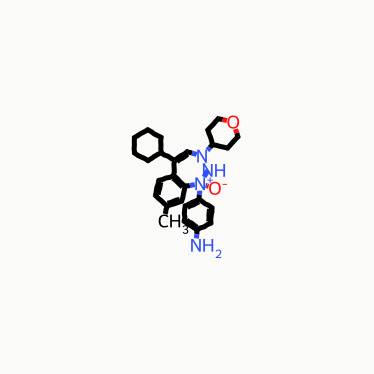 Cc1ccc2c(c1)[N+]([O-])(c1ccc(N)cc1)NN(C1CCOCC1)C=C2C1CCCCC1